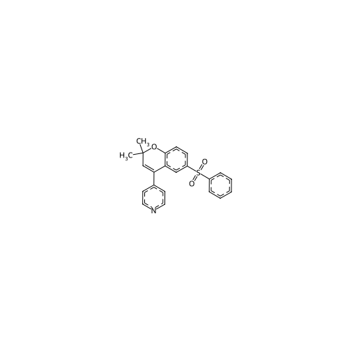 CC1(C)C=C(c2ccncc2)c2cc(S(=O)(=O)c3ccccc3)ccc2O1